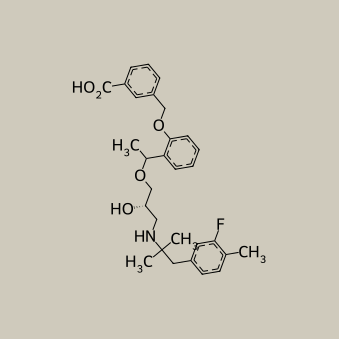 Cc1ccc(CC(C)(C)NC[C@H](O)COC(C)c2ccccc2OCc2cccc(C(=O)O)c2)cc1F